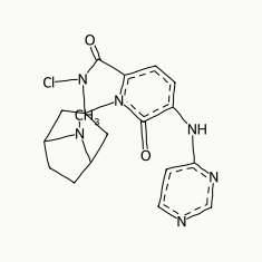 CN1C2CCC1CC1(C2)N(Cl)C(=O)c2ccc(Nc3ccncn3)c(=O)n21